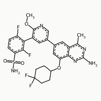 COc1ncc(-c2cc(OC3CCC(F)(F)CC3)c3nc(N)nc(C)c3c2)cc1-c1c(F)ccc(S(N)(=O)=O)c1F